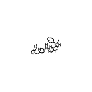 COC[C@@H]1CCCN1Cc1ccc(Nc2ncc(F)c(-c3cnc(C)n3C3CCOCC3)n2)cn1